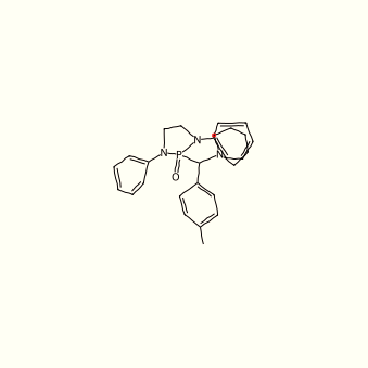 Cc1ccc(C(N2CCCCC2)P2(=O)N(c3ccccc3)CCN2c2ccccc2)cc1